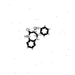 O=C1Nc2ccccc2S[C@@H](c2ccccc2)[C@H]1O